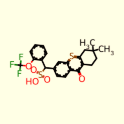 CC1(C)CCc2c(sc3cc(C(c4ccccc4OC(F)(F)F)S(=O)(=O)O)ccc3c2=O)C1